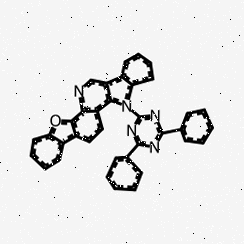 c1ccc(-c2nc(-c3ccccc3)nc(-n3c4ccccc4c4cnc5c(ccc6c7ccccc7oc65)c43)n2)cc1